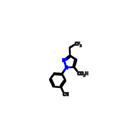 N#Cc1cccc(-n2nc(CC(F)(F)F)cc2C(=O)O)c1